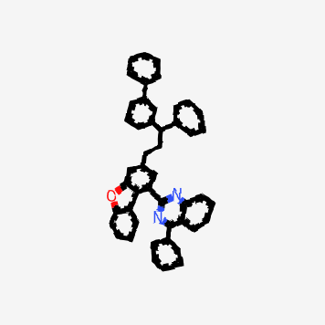 c1ccc(-c2cccc(C(CCc3cc(-c4nc(-c5ccccc5)c5ccccc5n4)c4c(c3)oc3ccccc34)c3ccccc3)c2)cc1